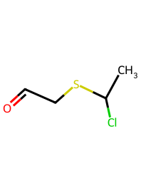 CC(Cl)SCC=O